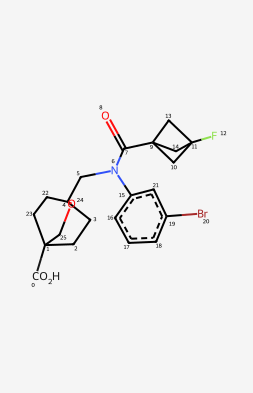 O=C(O)C12CCC(CN(C(=O)C34CC(F)(C3)C4)c3cccc(Br)c3)(CC1)OC2